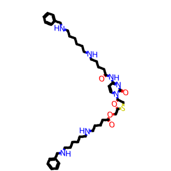 O=C(CCCCNCCCCCCNCc1ccccc1)Nc1ccn(C2CSC(COC(=O)CCCCNCCCCCCNCc3ccccc3)O2)c(=O)n1